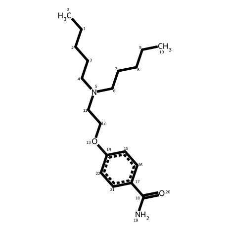 CCCCCN(CCCCC)CCOc1ccc(C(N)=O)cc1